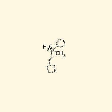 C[Si](C)(C/C=C/c1ccccc1)c1ccccc1